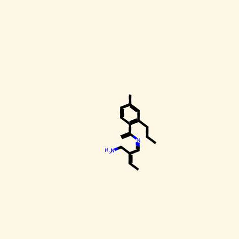 C=C(/N=C\C(=C/C)CN)c1ccc(C)cc1CCC